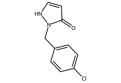 O=c1cc[nH]n1Cc1ccc(Cl)cc1